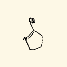 N#CC1=NCCC1